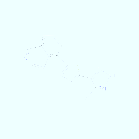 Cc1n[nH]nc1-c1ccc(-c2cccc3cnccc23)s1